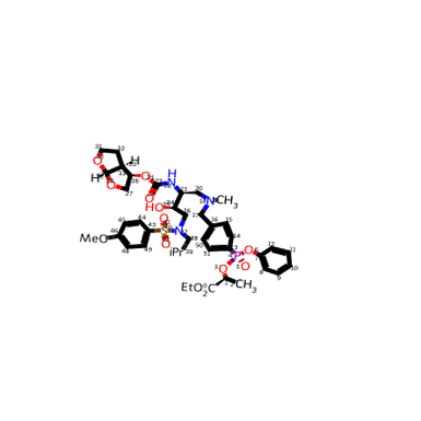 CCOC(=O)[C@H](C)OP(=O)(Oc1ccccc1)c1ccc(CN(C)C[C@H](NC(=O)O[C@H]2CO[C@H]3OCC[C@H]32)[C@H](O)CN(CC(C)C)S(=O)(=O)c2ccc(OC)cc2)cc1